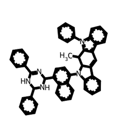 CC1c2c(c3ccccc3n2-c2ccccc2)C=C2c3ccccc3N(c3ccc(C4N=C(c5ccccc5)NC(c5ccccc5)N4)c4ccccc34)C21